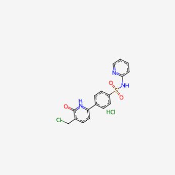 Cl.O=c1[nH]c(-c2ccc(S(=O)(=O)Nc3ccccn3)cc2)ccc1CCl